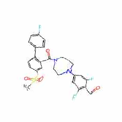 CS(=O)(=O)c1ccc(-c2ccc(F)cc2)c(C(=O)N2CCN(c3cc(F)c(C=O)c(F)c3)CC2)c1